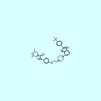 CC1CN(C(=O)Nc2ccc(OCCN3CCN(c4cccc5[nH]c(-c6ccc(C(C)(C)C)cc6)nc45)CC3)cc2)CC(C)O1